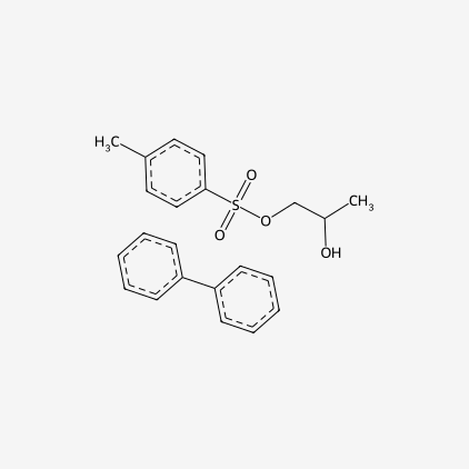 Cc1ccc(S(=O)(=O)OCC(C)O)cc1.c1ccc(-c2ccccc2)cc1